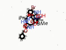 COC(=O)[C@@H](NC(=O)c1nc2oc1C13c4cc(ccc4OC1Nc1c(Br)cccc13)C[C@H](NC(=O)OCc1ccccc1)C(=O)N[C@H]2C(C)C)[C@@H](C)O